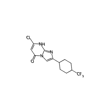 O=c1cc(Cl)[nH]c2nc(C3CCC(C(F)(F)F)CC3)cn12